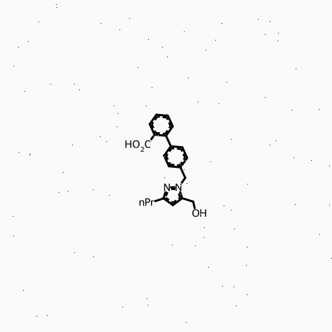 CCCc1cc(CO)n(Cc2ccc(-c3ccccc3C(=O)O)cc2)n1